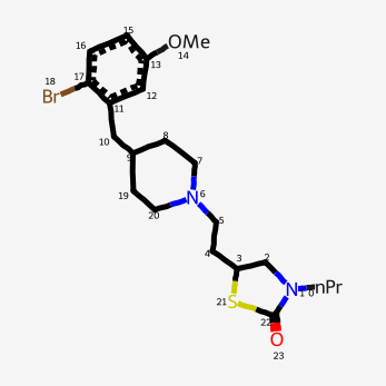 CCCN1CC(CCN2CCC(Cc3cc(OC)ccc3Br)CC2)SC1=O